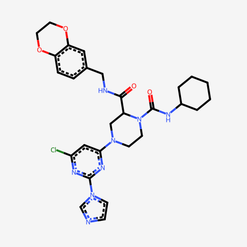 O=C(NCc1ccc2c(c1)OCCO2)C1CN(c2cc(Cl)nc(-n3ccnc3)n2)CCN1C(=O)NC1CCCCC1